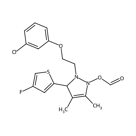 CC1=C(C)N(OC=O)N(CCOc2cccc(Cl)c2)C1c1cc(F)cs1